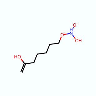 C=C(O)CCCCCO[NH+]([O-])O